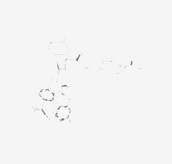 CC(C)(C)OC(=O)N1CCN(CCNC(=O)C(NC(=O)[C@@H](Cc2ccc(C(=N)N)cc2)C(=O)NCc2ccccc2)C2CCCCC2)CC1